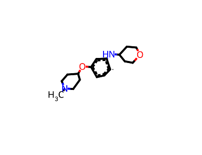 CN1CCC(Oc2cc[c]c(NC3CCOCC3)c2)CC1